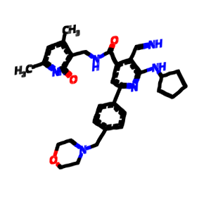 Cc1cc(C)c(CNC(=O)c2cc(-c3ccc(CN4CCOCC4)cc3)nc(NC3CCCC3)c2C=N)c(=O)[nH]1